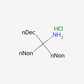 CCCCCCCCCCC(N)(CCCCCCCCC)CCCCCCCCC.Cl